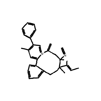 C=NC1(C)CC(=C)[n+]2cc(-c3ccccc3)c(C)cc2-c2ccccc2CCC1(C)/C(C)=C/C